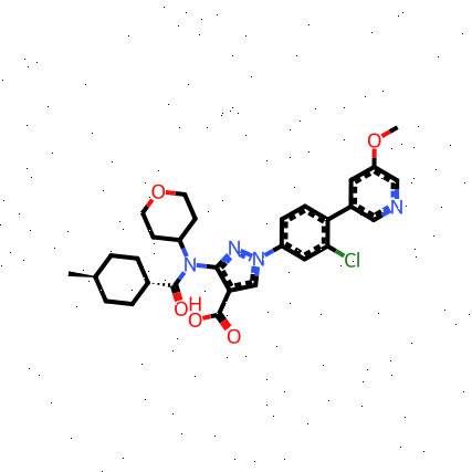 COc1cncc(-c2ccc(-n3cc(C(=O)O)c(N(C(=O)[C@H]4CC[C@H](C)CC4)C4CCOCC4)n3)cc2Cl)c1